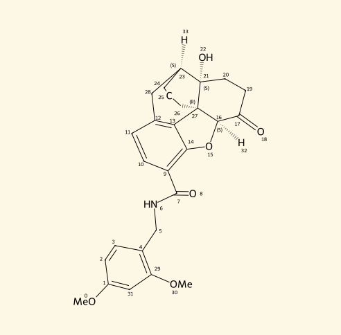 COc1ccc(CNC(=O)c2ccc3c4c2O[C@@H]2C(=O)CC[C@]5(O)[C@@H](CCC[C@@]425)C3)c(OC)c1